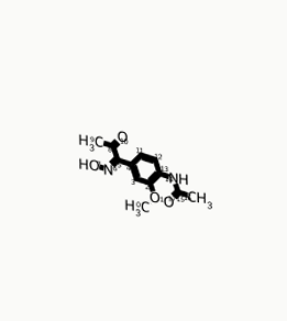 COc1cc(C(=NO)C(C)=O)ccc1NC(C)=O